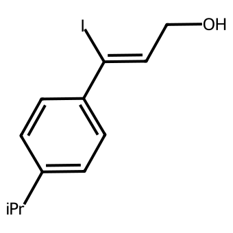 CC(C)c1ccc(C(I)=CCO)cc1